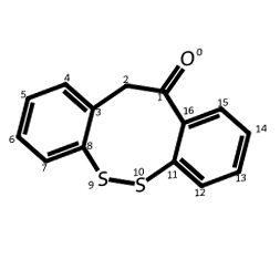 O=C1Cc2ccccc2SSc2ccccc21